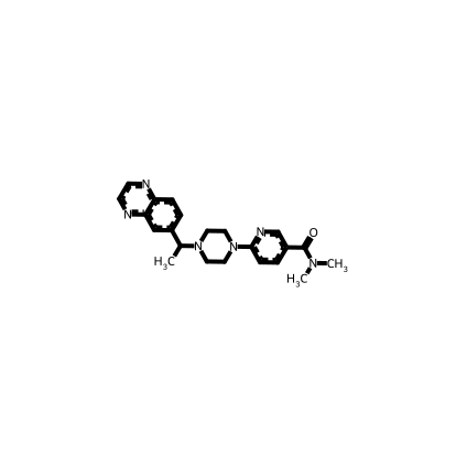 CC(c1ccc2nccnc2c1)N1CCN(c2ccc(C(=O)N(C)C)cn2)CC1